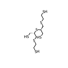 SCCSC[C@@H](CS)S[C@@H](CS)CSCCS